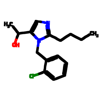 CCCCc1ncc(C(C)O)n1Cc1ccccc1Cl